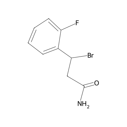 NC(=O)CC(Br)c1ccccc1F